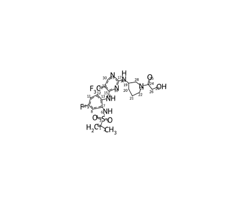 C=C(C)S(=O)(=O)Nc1cc(F)ccc1Nc1nc(NC2CCCN(C(=O)CO)C2)ncc1C(F)(F)F